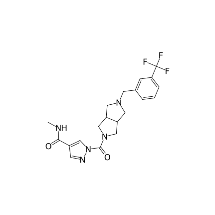 CNC(=O)c1cnn(C(=O)N2CC3CN(Cc4cccc(C(F)(F)F)c4)CC3C2)c1